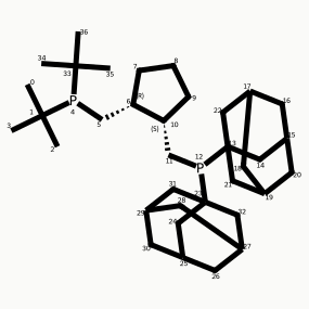 CC(C)(C)P(C[C@@H]1CCC[C@@H]1CP(C12CC3CC(CC(C3)C1)C2)C12CC3CC(CC(C3)C1)C2)C(C)(C)C